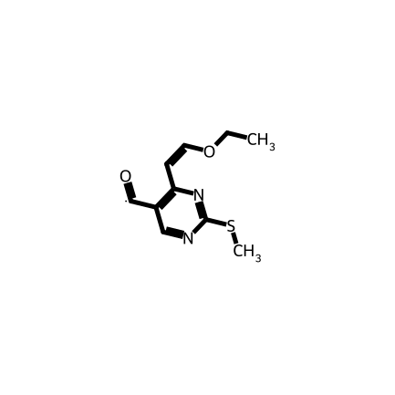 CCO/C=C\c1nc(SC)ncc1[C]=O